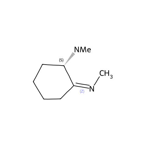 C/N=C1/CCCC[C@@H]1NC